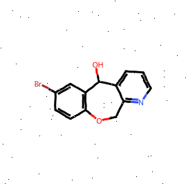 OC1c2cc(Br)ccc2OCc2ncccc21